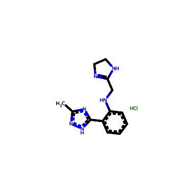 Cc1n[nH]c(-c2ccccc2NCC2=NCCN2)n1.Cl